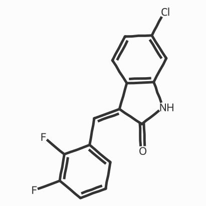 O=C1Nc2cc(Cl)ccc2C1=Cc1cccc(F)c1F